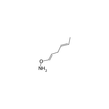 CC=CCC=CON